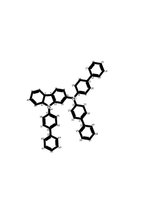 C1=CC2c3ccc(N(C4=CC=C(c5ccccc5)CC4)C4C=CC(c5ccccc5)=CC4)cc3N(c3ccc(-c4ccccc4)cc3)C2C=C1